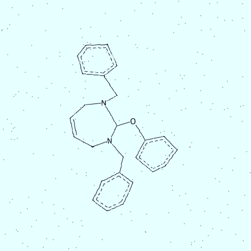 C1=CCN(Cc2ccccc2)C(Oc2ccccc2)N(Cc2ccccc2)C1